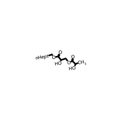 CCCCCCCCOC(=O)C(O)COC(=O)C(C)O